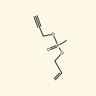 C#CCOP(C)(=O)OCC=C